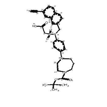 CC(C)(C)OC(=O)N1CCCN(c2ccc(N(Cc3ccc4ccc(C#N)cc4c3)S(=O)(=O)CC(=O)O)cc2)CC1